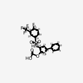 O=C(O)Oc1sc(-c2ccccc2)cc1NS(=O)(=O)c1ccc(F)c(C(F)(F)F)c1